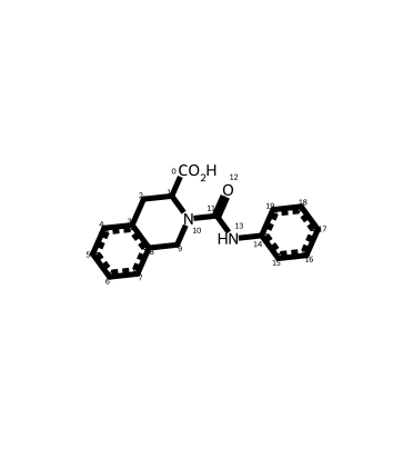 O=C(O)C1Cc2ccccc2CN1C(=O)Nc1ccccc1